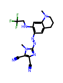 CN1CCCc2cc(N=Nc3nc(C#N)c(C#N)n3C)c(NCC(F)(F)F)cc21